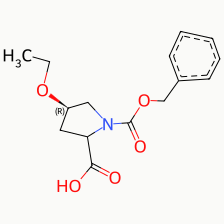 CCO[C@@H]1CC(C(=O)O)N(C(=O)OCc2ccccc2)C1